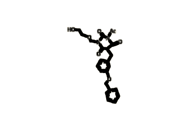 CC(=O)N1C(=O)C(Cc2cccc(OCc3ccccc3)c2)C(=O)N(COCCO)C1=O